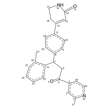 Cc1cc(C(=O)CC(c2ccc(C3=CC(=O)NCC3)cc2)c2ccccc2C)ccn1